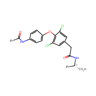 CC(C)C(=O)Nc1ccc(Oc2c(Cl)cc(CC(=O)N[C@H](C(=O)O)C(C)C)cc2Cl)cc1